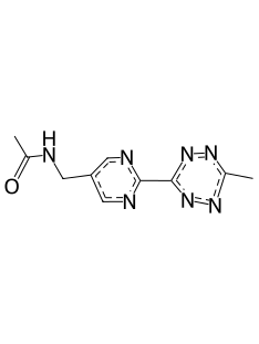 CC(=O)NCc1cnc(-c2nnc(C)nn2)nc1